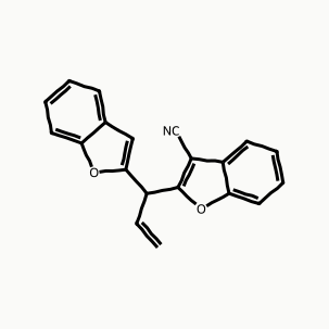 C=CC(c1cc2ccccc2o1)c1oc2ccccc2c1C#N